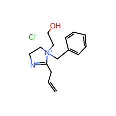 C=CCC1=NCC[N+]1(CCO)Cc1ccccc1.[Cl-]